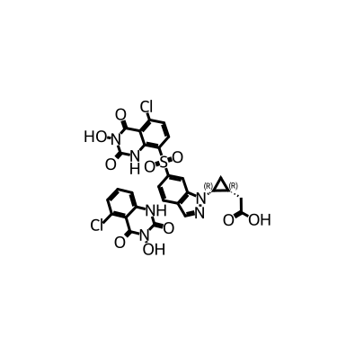 O=C(O)C[C@H]1C[C@H]1n1ncc2ccc(S(=O)(=O)c3ccc(Cl)c4c(=O)n(O)c(=O)[nH]c34)cc21.O=c1[nH]c2cccc(Cl)c2c(=O)n1O